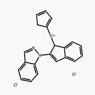 C1=CC[C]([Ti+2][CH]2C(n3ncc4ccccc43)=Cc3ccccc32)=C1.[Cl-].[Cl-]